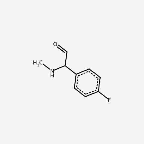 CNC(C=O)c1ccc(F)cc1